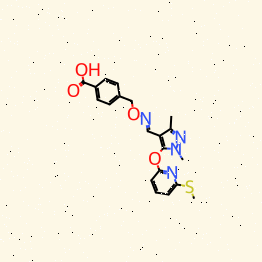 CSc1cccc(Oc2c(C=NOCc3ccc(C(=O)O)cc3)c(C)nn2C)n1